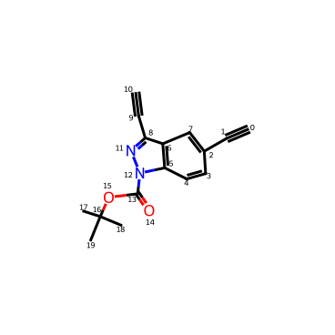 C#Cc1ccc2c(c1)c(C#C)nn2C(=O)OC(C)(C)C